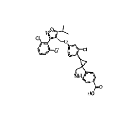 CC(C)c1onc(-c2c(Cl)cccc2Cl)c1COc1ccc(C2CC2(CN)c2ccc(C(=O)O)cc2)c(Cl)c1